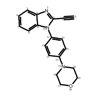 C#Cc1nc2ccccc2n1-c1ccc(N2CCOCC2)cc1